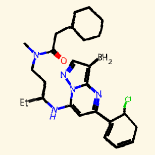 Bc1cnn2c(NC(CC)CCN(C)C(=O)CC3CCCCC3)cc(C3=CC=CCC3Cl)nc12